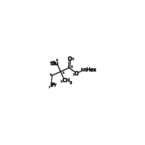 CCCCCCOC(=O)C(C)(CC(C)C)C(C)(C)C